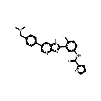 CN(C)Cc1ccc(-c2cnc3nc(-c4cc(NC(=O)c5ccco5)ccc4Cl)[nH]c3c2)cc1